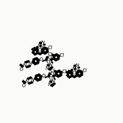 CC(=O)N1CCN(c2ccc(OC[C@H]3CO[C@](Cn4ccnc4)(c4ccc(Cl)cc4Cl)O3)cc2)CC1.CC(=O)N1CCN(c2ccc(OC[C@H]3CO[C@](Cn4ccnc4)(c4ccc(Cl)cc4Cl)O3)cc2)CC1.CC1(C)CCC(Cc2ccc(Cl)cc2)C1(O)Cn1cncn1.CC1(C)CCC(Cc2ccc(Cl)cc2)C1(O)Cn1cncn1